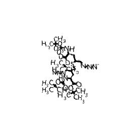 CC(C)(C)OC(=O)N[C@@H](CC(CN=[N+]=[N-])SSC(CN=[N+]=[N-])C[C@H](NC(=O)OC(C)(C)C)C(=O)OC(C)(C)C)C(=O)OC(C)(C)C